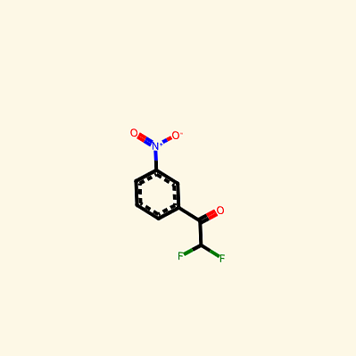 O=C(c1cccc([N+](=O)[O-])c1)C(F)F